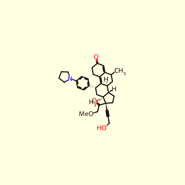 COCC(=O)[C@@]1(C#CCO)CC[C@H]2[C@@H]3CC(C)C4=CC(=O)CCC4=C3[C@@H](c3ccc(N4CCCC4)cc3)C[C@@]21C